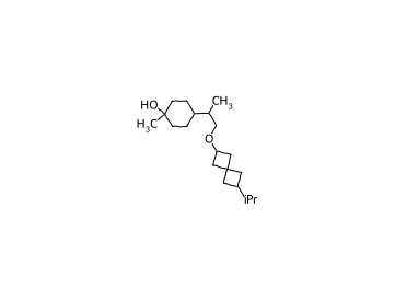 CC(C)C1CC2(CC(OCC(C)C3CCC(C)(O)CC3)C2)C1